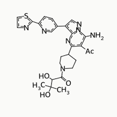 CC(=O)c1c(C2CCN(C(=O)C(O)C(C)(C)O)CC2)nc2c(-c3ccc(-c4nccs4)nc3)cnn2c1N